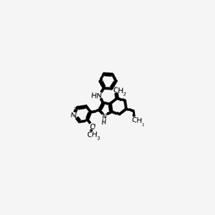 C=C1CC(CC)Cc2[nH]c(-c3ccncc3OC)c(Nc3ccccc3)c21